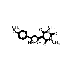 COc1ccc(C2CC(=C3C(=O)N(C)C(=O)N(C)C3=O)NN2)cc1